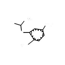 CCC(OC)Oc1cc(C(=O)O)ccc1SC